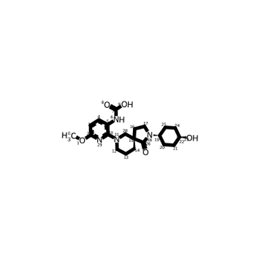 COc1ccc(NC(=O)O)c(N2CCC[C@]3(CCN([C@H]4CC[C@H](O)CC4)C3=O)C2)n1